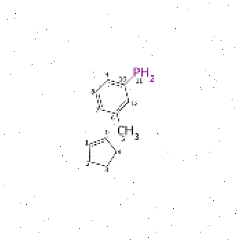 C1=CCCC1.Cc1cccc(P)c1